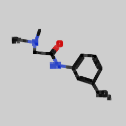 CC(C)N(C)CC(=O)Nc1cccc([N+](=O)[O-])c1